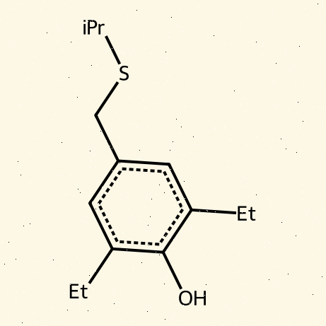 CCc1cc(CSC(C)C)cc(CC)c1O